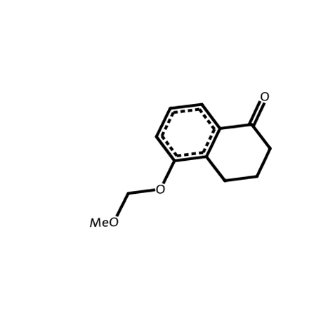 COCOc1cccc2c1CCCC2=O